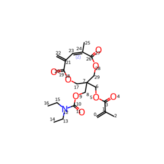 C=C(C)C(=O)OCC1(COC(=O)N(CC)CC)COC(=O)C(=C)/C=C(/C)C(=O)OC1